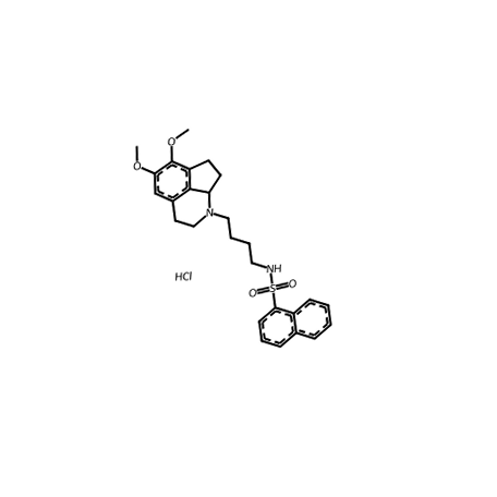 COc1cc2c3c(c1OC)CCC3N(CCCCNS(=O)(=O)c1cccc3ccccc13)CC2.Cl